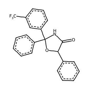 O=C1NC(c2ccccc2)(c2cccc(C(F)(F)F)c2)OC1c1ccccc1